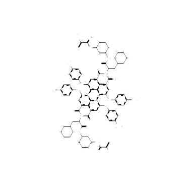 C=C(CC)C(=O)OC1CCCC(NC(=O)C(CC2CCCCC2)N2C(=O)c3cc(Oc4ccc(C(C)(C)C)cc4)c4c5c(Oc6ccc(C(C)(C)C)cc6)cc6c7c(cc(Oc8ccc(C(C)(C)C)cc8)c(c8c(Oc9ccc(C(C)(C)C)cc9)cc(c3c48)C2=O)c75)C(=O)N(C(CC2CCCCC2)C(=O)NC2CCCC(OC(=O)C(=C)CC)C2)C6=O)C1